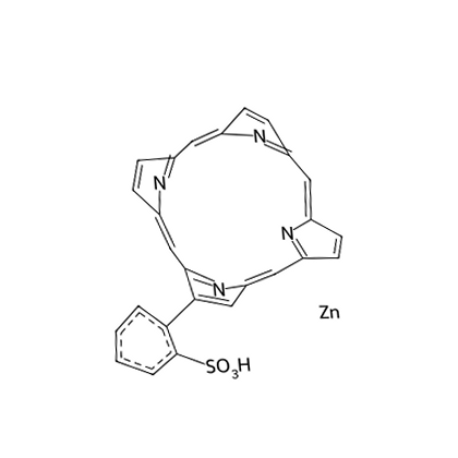 O=S(=O)(O)c1ccccc1C1=CC2=CC3=NC(=CC4=NC(=CC5=NC(=CC1=N2)C=C5)C=C4)C=C3.[Zn]